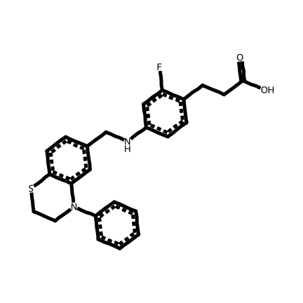 O=C(O)CCc1ccc(NCc2ccc3c(c2)N(c2ccccc2)CCS3)cc1F